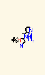 CC(N[C@@H](CC#N)CO[Si](C)(C)C(C)(C)C)c1cccnc1N